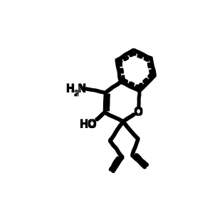 C=CCC1(CC=C)Oc2ccccc2C(N)=C1O